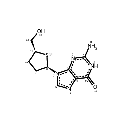 Nc1nc2c(ncn2[C@H]2CC[C@@H](CO)S2)c(=O)[nH]1